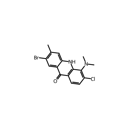 Cc1cc2[nH]c3c(N(C)C)c(Cl)ccc3c(=O)c2cc1Br